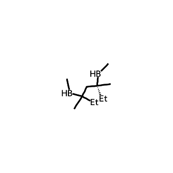 CBC(C)(CC)C[C@](C)(BC)CC